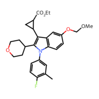 CCOC(=O)C1CC1c1c(C2CCOCC2)n(-c2ccc(F)c(C)c2)c2ccc(OCOC)cc12